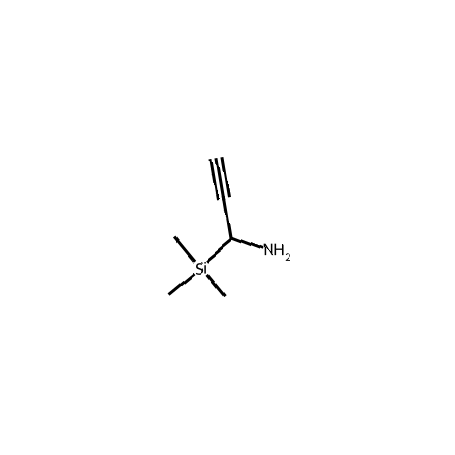 C#CC(N)[Si](C)(C)C